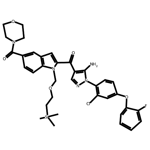 C[Si](C)(C)CCOCn1c(C(=O)c2cnn(-c3ccc(Oc4ccccc4F)cc3Cl)c2N)cc2cc(C(=O)N3CCOCC3)ccc21